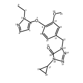 CCn1nccc1Oc1ccc(Cn2nnn(C3CC3)c2=O)cc1OC